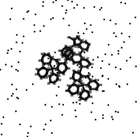 Cc1nc2cccc(-c3c4cccc(-c5cccc6c5Oc5ccccc5C6(c5ccccc5)c5ccccc5)c4cc4c(-c5cccc6c5Oc5ccccc5C6(c5ccccc5)c5ccccc5)cccc34)c2n1-c1ccccc1